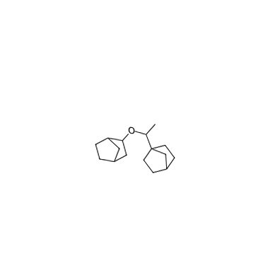 CC(OC1CC2CCC1C2)C12CCC(CC1)C2